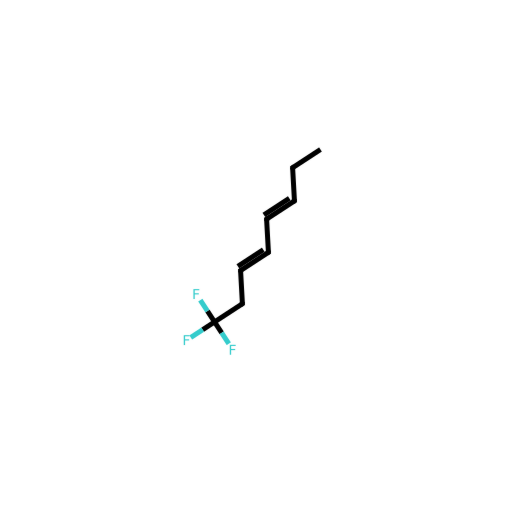 CC/C=C/C=C/CC(F)(F)F